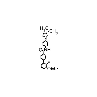 COc1cccc(-c2ccc(C(=O)Nc3ccc(N4CCC(N(C)C)C4)cc3)cc2)c1F